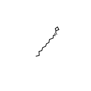 CCCCCCCCCCC[P]C1CCC1